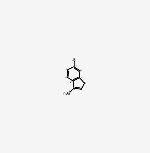 CCCCC1=CCc2cc(Br)ccc21